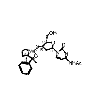 CC(=O)Nc1ccn([C@H]2C[C@@H](O[P@@]3O[C@](C)(c4ccccc4)[C@@H]4CCCN43)[C@@H](CO)O2)c(=O)n1